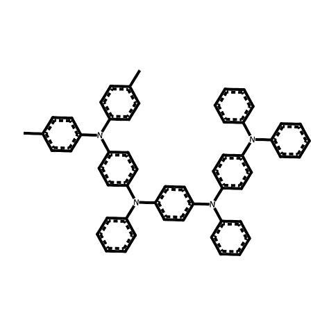 Cc1ccc(N(c2ccc(C)cc2)c2ccc(N(c3ccccc3)c3ccc(N(c4ccccc4)c4ccc(N(c5ccccc5)c5ccccc5)cc4)cc3)cc2)cc1